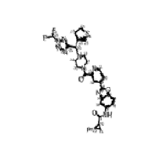 O=C(Nc1ccc2oc(-c3ccnc(C(=O)N4CCN([C@H](c5ccsc5)c5nnn(C(F)F)n5)CC4)c3)nc2c1)C1C[C@@H]1F